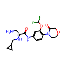 NC[C@H](NCC1CC1)C(=O)Nc1ccc(N2CCOCC2=O)c(OC(F)F)c1